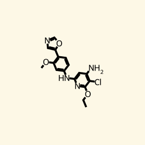 CCOc1nc(Nc2ccc(-c3cnco3)c(OC)c2)cc(N)c1Cl